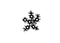 CC(C)(C)c1ccc(N2c3ccc(C(C)(C)C)cc3B3c4sc5ccc(C(C)(C)C)cc5c4N(c4ccc(C(C)(C)C)cc4)c4cc(C5CCCCC5)cc2c43)cc1